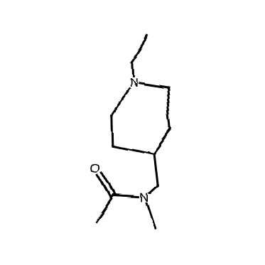 CCN1CCC(CN(C)C(C)=O)CC1